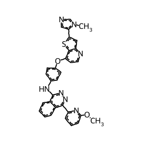 COc1cccc(-c2nnc(Nc3ccc(Oc4ccnc5cc(-c6cncn6C)sc45)cc3)c3ccccc23)n1